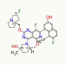 C#Cc1c(F)ccc2cc(O)cc(-c3nc4c5c(nc(OC[C@@]67CCCN6C[C@H](F)C7)nc5c3F)N3C[C@](C)(O)CC[C@H]3CO4)c12